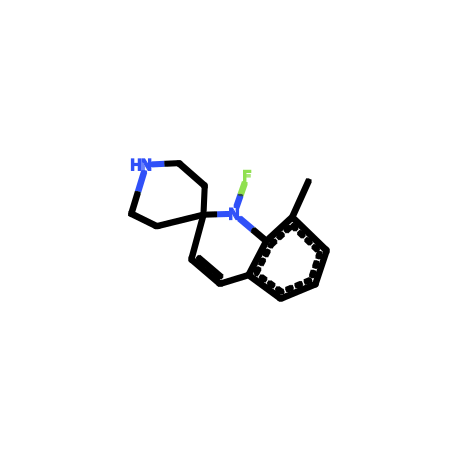 Cc1cccc2c1N(F)C1(C=C2)CCNCC1